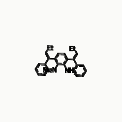 CC/C=C(/c1ccccc1)c1ccc(/C(=C\CC)c2ccccc2)c(NC)c1N